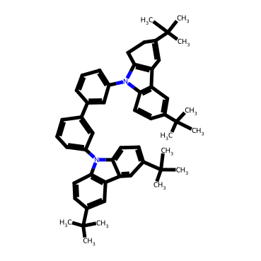 CC(C)(C)C1=Cc2c(n(-c3cccc(-c4cccc(-n5c6ccc(C(C)(C)C)cc6c6cc(C(C)(C)C)ccc65)c4)c3)c3ccc(C(C)(C)C)cc23)CC1